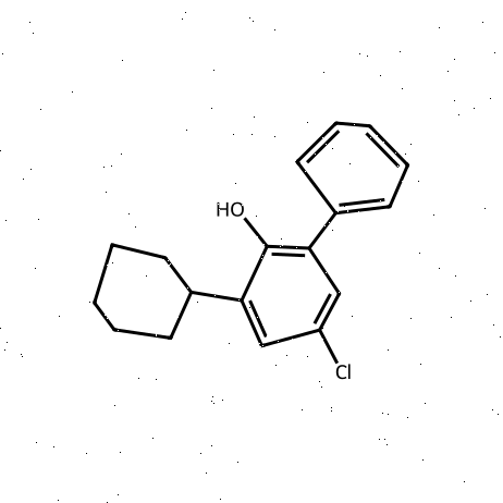 Oc1c(-c2ccccc2)cc(Cl)cc1C1CCCCC1